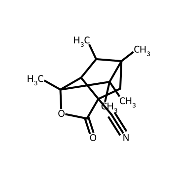 CC1C2C3(C#N)CC1(C)C(C)(C)C2(C)OC3=O